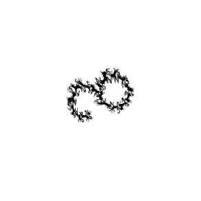 [c]1csc(-c2csc(-c3csc(-c4csc(-c5csc(-c6csc(-c7csc(-c8csc(-c9csc(-c%10csc(-c%11csc(-c%12csc(-c%13csc(-c%14csc(-c%15csc(-c%16csc(-c%17cscn%17)n%16)n%15)n%14)n%13)n%12)n%11)n%10)n9)n8)n7)n6)n5)n4)n3)n2)n1